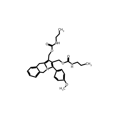 CCCNC(=O)OCc1c(COC(=O)NCCC)c(-c2ccc(OC)cc2)n2c1Cc1ccccc1C2